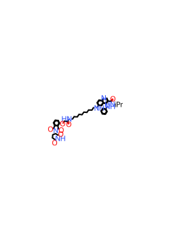 CC(C)NC(=O)c1cnc2ccc(NCCCCCCCCCCNC(=O)COc3cccc4c3C(=O)N(C3CCC(=O)NC3=O)C4=O)cc2c1Nc1ccccc1